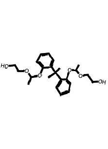 CC(OCCO)Oc1ccccc1C(C)(C)c1ccccc1OC(C)OCCO